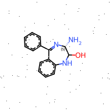 N[C@H]1N=C(c2ccccc2)c2ccccc2NC1O